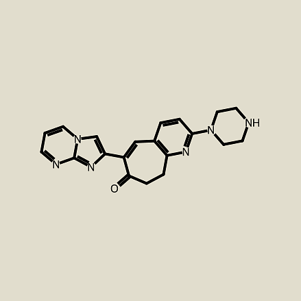 O=C1CCc2nc(N3CCNCC3)ccc2C=C1c1cn2cccnc2n1